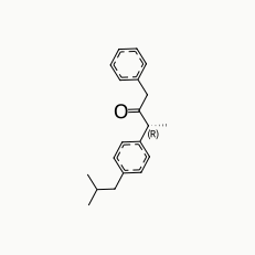 CC(C)Cc1ccc([C@@H](C)C(=O)Cc2ccccc2)cc1